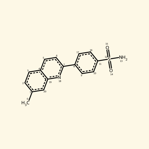 Cc1ccc2ccc(-c3ccc(S(N)(=O)=O)cc3)nc2c1